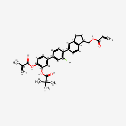 C=CC(=O)OCC1CCc2cc(-c3ccc(-c4ccc(OC(=O)C(=C)C)c(OC(=O)C(C)(C)C)c4)cc3F)ccc21